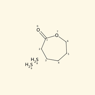 O=C1CCCCCO1.S.S